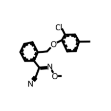 CON=C(C#N)c1ccccc1COc1ccc(C)cc1Cl